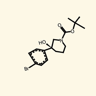 CC(C)(C)OC(=O)N1CCC[C@](O)(c2ccc(Br)cc2)C1